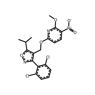 COc1nc(OCc2c(-c3c(Cl)cccc3Cl)noc2C(C)C)ccc1[N+](=O)[O-]